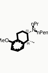 CCCCCN(CCC)[C@H]1CCc2c(OC)cccc2[C@H]1C